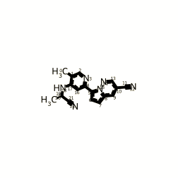 Cc1cnc(-c2ccc3cc(C#N)cnn23)cc1N[C@H](C)C#N